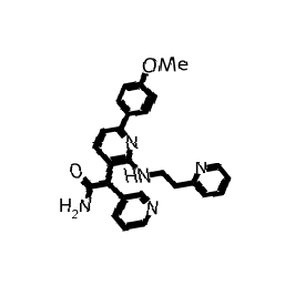 COc1ccc(-c2ccc(C(C(N)=O)c3cccnc3)c(NCCc3ccccn3)n2)cc1